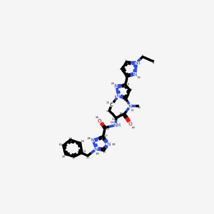 CCn1ccc(-c2cc3n(n2)CCC(NC(=O)c2ncn(Cc4ccccc4)n2)C(=O)N3C)n1